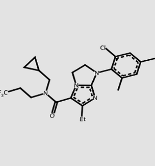 CCc1nc2n(c1C(=O)N(CCC(F)(F)F)CC1CC1)CCN2c1c(C)cc(C)cc1Cl